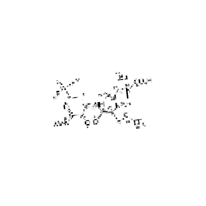 CNC(=O)C(=O)[C@H](CCC(C)(F)F)NC(=O)[C@@H]1C[C@@H](C(F)(F)F)CN1C(=O)[C@@H](NC(=O)O)C(C)(C)C